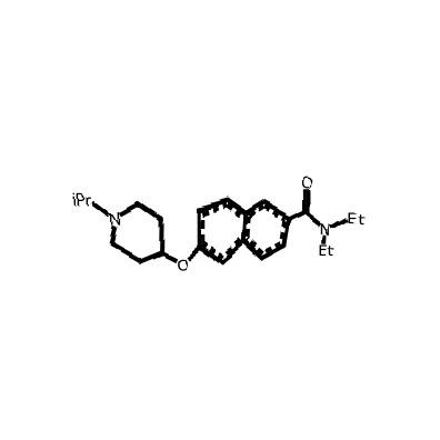 CCN(CC)C(=O)c1ccc2cc(OC3CCN(C(C)C)CC3)ccc2c1